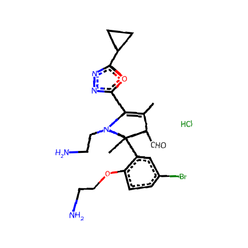 CC1=C(c2nnc(C3CC3)o2)N(CCN)C(C)(c2cc(Br)ccc2OCCN)C1C=O.Cl